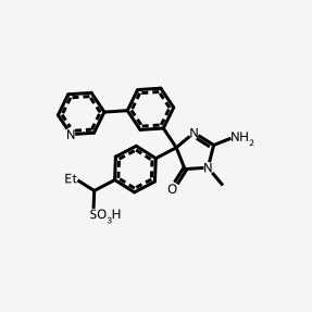 CCC(c1ccc(C2(c3cccc(-c4cccnc4)c3)N=C(N)N(C)C2=O)cc1)S(=O)(=O)O